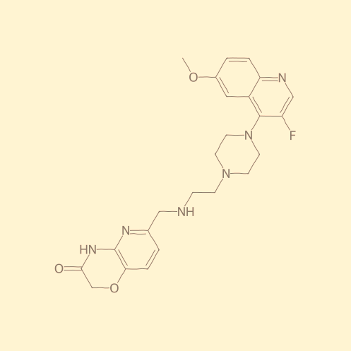 COc1ccc2ncc(F)c(N3CCN(CCNCc4ccc5c(n4)NC(=O)CO5)CC3)c2c1